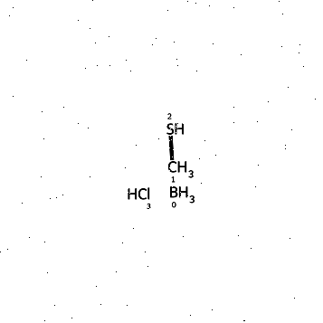 B.CS.Cl